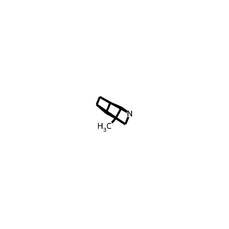 CC12C3C4C5C3C1N5C42